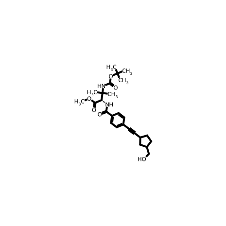 COC(=O)[C@@H](NC(=O)c1ccc(C#CC2CCC(CO)C2)cc1)C(C)(C)NC(=O)OC(C)(C)C